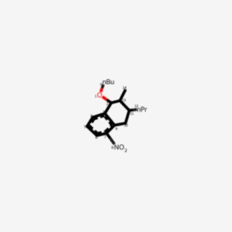 CCCCOC1c2cccc([N+](=O)[O-])c2CC(CCC)C1C